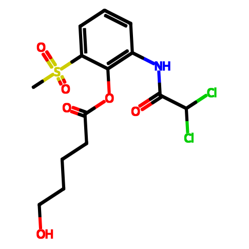 CS(=O)(=O)c1cccc(NC(=O)C(Cl)Cl)c1OC(=O)CCCCO